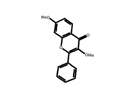 COc1ccc2c(=O)c(OC)c(-c3ccccc3)oc2c1